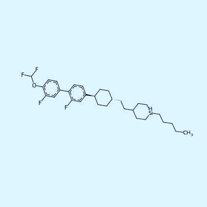 CCCCC[SiH]1CCC(CC[C@H]2CC[C@H](c3ccc(-c4ccc(OC(F)F)c(F)c4)c(F)c3)CC2)CC1